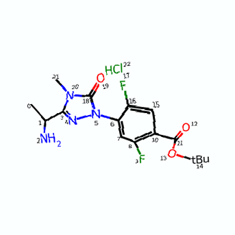 CC(N)c1nn(-c2cc(F)c(C(=O)OC(C)(C)C)cc2F)c(=O)n1C.Cl